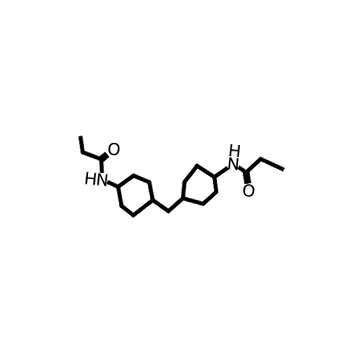 CCC(=O)NC1CCC(CC2CCC(NC(=O)CC)CC2)CC1